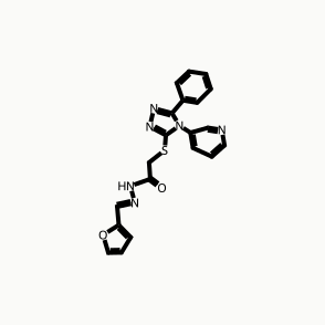 O=C(CSc1nnc(-c2ccccc2)n1-c1cccnc1)N/N=C/c1ccco1